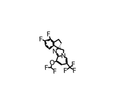 Fc1ccc2c(c1F)CC[C@@]21CN2C=C(C(F)(F)F)C=C(OC(F)F)C2=N1